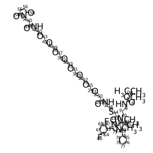 CC(C)(C)OC(=O)NCCCN(C(=O)CSCCNC(=O)CCOCCOCCOCCOCCOCCOCCOCCOCCNC(=O)CCN1C(=O)C=CC1=O)[C@@H](c1nc(-c2cc(F)ccc2F)cn1Cc1ccccc1)C(C)(C)C